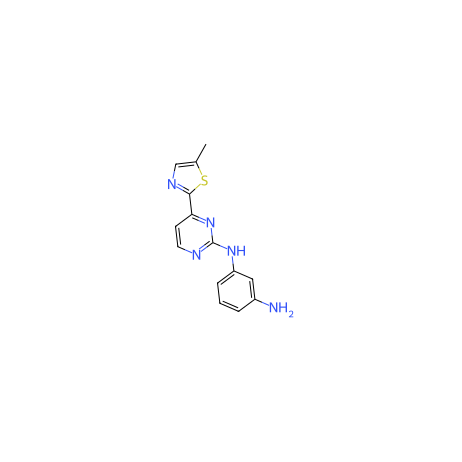 Cc1cnc(-c2ccnc(Nc3cccc(N)c3)n2)s1